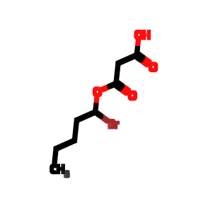 CCCCC(Br)OC(=O)CC(=O)O